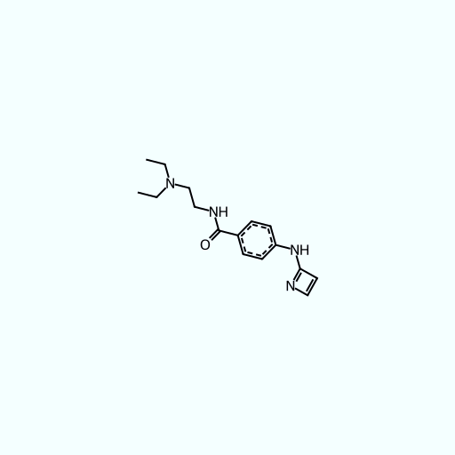 CCN(CC)CCNC(=O)c1ccc(NC2=NC=C2)cc1